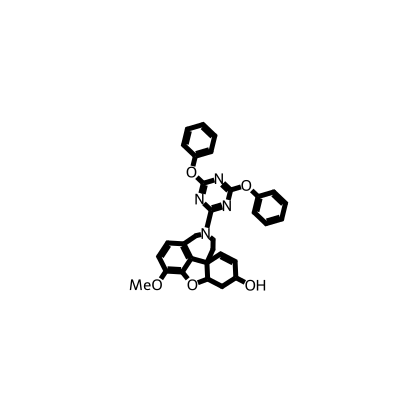 COc1ccc2c3c1OC1CC(O)C=CC31CCN(c1nc(Oc3ccccc3)nc(Oc3ccccc3)n1)C2